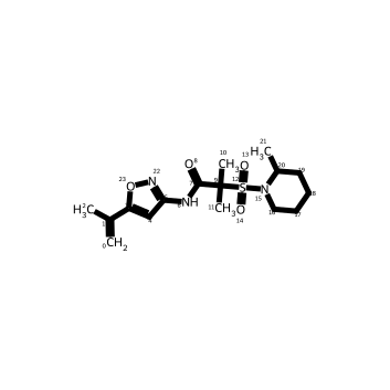 C=C(C)c1cc(NC(=O)C(C)(C)S(=O)(=O)N2CCCCC2C)no1